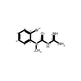 CN(C(=O)NC(=N)N)c1ccccc1Br